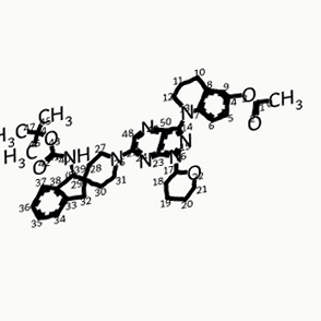 CC(=O)Oc1ccc2c(c1)CCCN2c1nn(C2CCCCO2)c2nc(N3CCC4(CC3)Cc3ccccc3[C@H]4NC(=O)OC(C)(C)C)cnc12